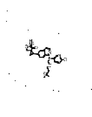 C[Si](C)(C)CCOCN(c1ccc(Cl)nc1)c1nccc2cc(C3CC3(CO)C(N)=O)ccc12